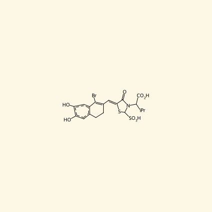 CC(C)C(C(=O)O)N1C(=O)C(=CC2=C(Br)c3cc(O)c(O)cc3CC2)SC1S(=O)(=O)O